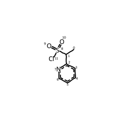 CC(c1ccccn1)S(=O)(=O)Cl